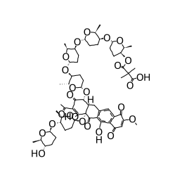 COC1=CC(=O)c2c(cc3c(c2O)C(=O)[C@@]2(O[C@H]4CC[C@H](O[C@H]5CC[C@H](O)[C@@H](C)O5)[C@@H](C)O4)C(O)=C(C(C)=O)C(=O)[C@H](O[C@H]4CC[C@H](O[C@H]5CC[C@H](O[C@H]6CC[C@H](O[C@H]7CC[C@H](OC(=O)C(C)(C)C(=O)O)[C@H](C)O7)[C@H](C)O6)[C@H](C)O5)[C@@H](C)O4)[C@H]2C3)C1=O